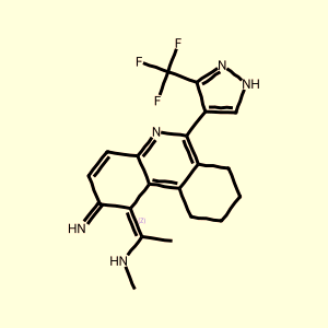 CN/C(C)=C1\C(=N)C=Cc2nc(-c3c[nH]nc3C(F)(F)F)c3c(c21)CCCC3